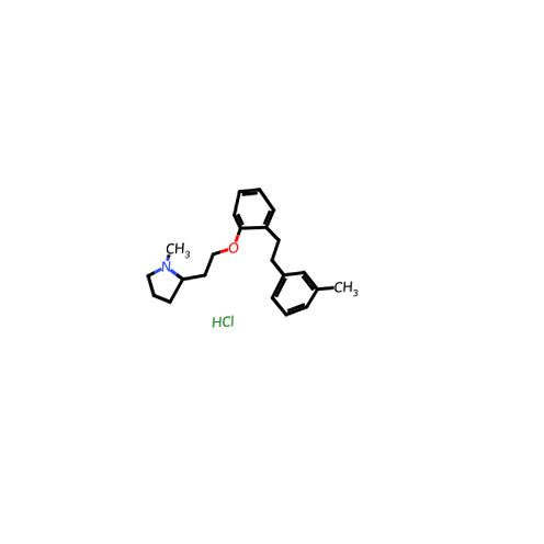 Cc1cccc(CCc2ccccc2OCCC2CCCN2C)c1.Cl